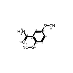 N#CSc1ccc(SC#N)c(C(N)=O)c1